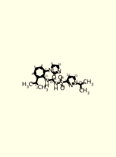 CC(C)c1cccc(-n2ccnc2)c1NC(=O)NS(=O)(=O)c1ccn(C(C)C)n1